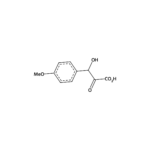 COc1ccc(C(O)C(=O)C(=O)O)cc1